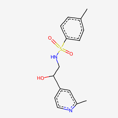 Cc1ccc(S(=O)(=O)NCC(O)c2ccnc(C)c2)cc1